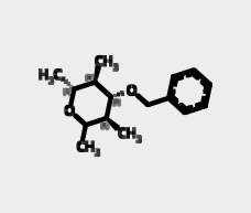 CC1O[C@H](C)[C@@H](C)[C@H](OCc2ccccc2)[C@H]1C